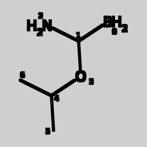 BC(N)OC(C)C